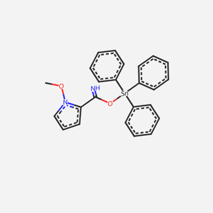 COn1cccc1C(=N)[O][Sn]([c]1ccccc1)([c]1ccccc1)[c]1ccccc1